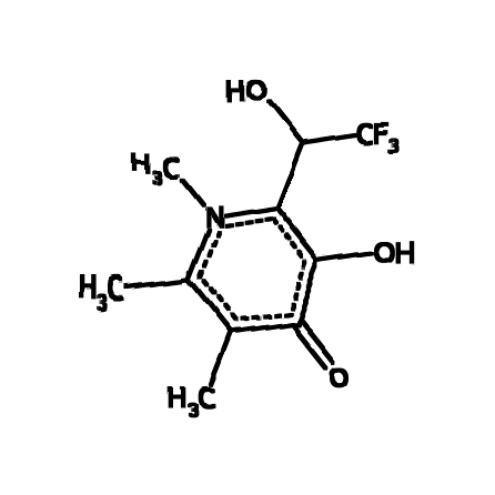 Cc1c(C)n(C)c(C(O)C(F)(F)F)c(O)c1=O